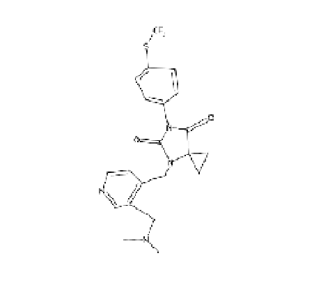 CN(C)Cc1cnccc1CN1C(=O)N(c2ccc(SC(F)(F)F)cc2)C(=O)C12CC2